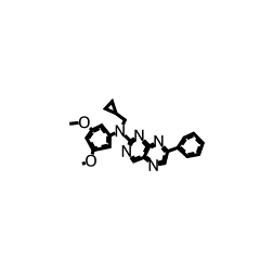 COc1cc(OC)cc(N(CC2CC2)c2ncc3ncc(-c4ccccc4)nc3n2)c1